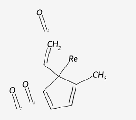 C=C[C]1([Re])C=CC=C1C.[C]=O.[C]=O.[C]=O